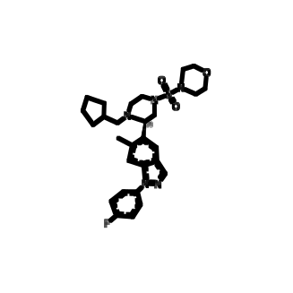 Cc1cc2c(cnn2-c2ccc(F)cc2)cc1[C@@H]1CN(S(=O)(=O)N2CCOCC2)CCN1CC1CCCC1